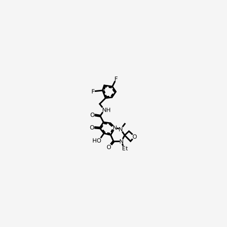 CCN1C(=O)c2c(O)c(=O)c(C(=O)NCc3ccc(F)cc3F)cn2N(C)C12COC2